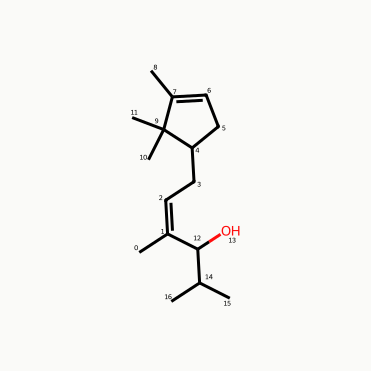 CC(=CCC1CC=C(C)C1(C)C)C(O)C(C)C